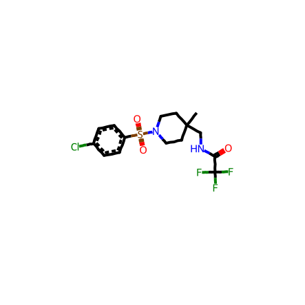 CC1(CNC(=O)C(F)(F)F)CCN(S(=O)(=O)c2ccc(Cl)cc2)CC1